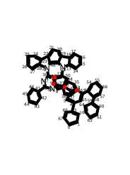 c1ccc(-c2cc(-c3cccc(-n4c5ccccc5c5ccc6c7ccccc7n(-c7nc(-c8ccccc8)nc(-c8ccccc8)n7)c6c54)c3)nc(-c3ccccc3-c3ccccc3)c2)cc1